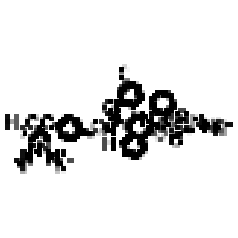 CC(CN=[N+]=[N-])(CN=[N+]=[N-])Oc1ccc(CONC(=O)[C@@H]2c3ccccc3C(=O)N([C@H]3CCCC[C@@H]3NS(=O)(=O)CN=[N+]=[N-])[C@H]2c2ccc(Cl)cc2Cl)cc1